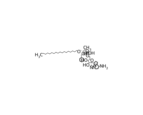 CCCCCCCCCCCCCCCCCCOC[C@@H](OCc1ccccc1)C(C)OP(=O)(O)OC[C@H]1O[C@@](C#N)(c2ccc3c(N)ccnn23)[C@H](O)[C@@H]1O